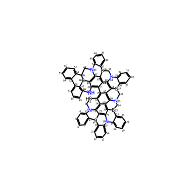 B1CN2c3ccccc3B3c4ccccc4N4c5ccccc5B5CN6CB7c8ccccc8N8CB9c%10ccccc%10N%10CC%11B%12c%13c(cccc%13-c%13ccccc%13%11)Nc%11c%12c%10c9c9c8c7c7c6c6c5c4c3c2c6c1c7c%119